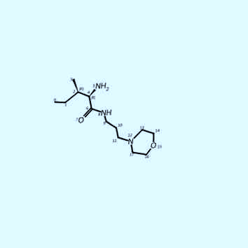 CC[C@@H](C)[C@@H](N)C(=O)NCCCN1CCOCC1